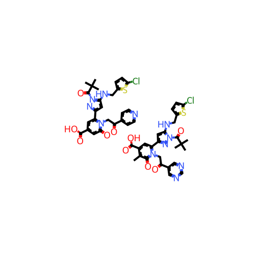 CC(C)(C)C(=O)n1nc(-c2cc(C(=O)O)cc(=O)n2CC(=O)c2ccncc2)cc1NCc1ccc(Cl)s1.Cc1c(C(=O)O)cc(-c2cc(NCc3ccc(Cl)s3)n(C(=O)C(C)(C)C)n2)n(CC(=O)c2cncnc2)c1=O